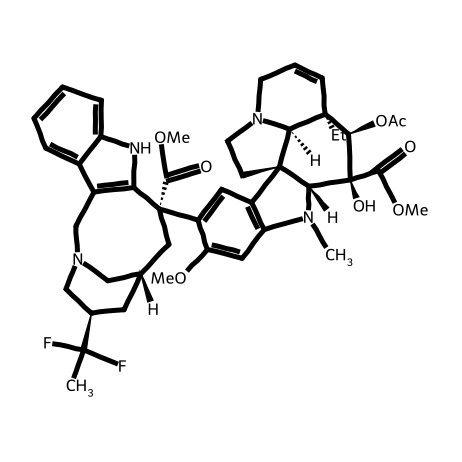 CC[C@]12C=CCN3CC[C@@]4(c5cc([C@@]6(C(=O)OC)C[C@@H]7C[C@@H](C(C)(F)F)CN(Cc8c6[nH]c6ccccc86)C7)c(OC)cc5N(C)[C@H]4[C@@](O)(C(=O)OC)[C@@H]1OC(C)=O)[C@@H]32